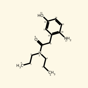 CCCN(CCC)C(=O)Cc1cc(O)ccc1N